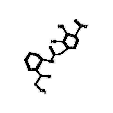 COC(=O)c1ccccc1NC(=O)Cc1ccc([N+](=O)[O-])c(O)c1O